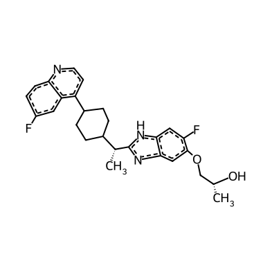 C[C@@H](O)COc1cc2nc([C@H](C)C3CCC(c4ccnc5ccc(F)cc45)CC3)[nH]c2cc1F